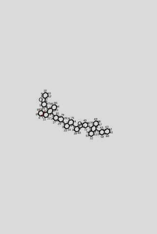 c1ccc(-c2cc3oc4ccccc4c3cc2-c2c3ccccc3c(-c3ccc4cc(-c5cccc6c(-c7cccc8c7oc7ccc(-c9c%10ccccc%10c(-c%10ccc%11ccccc%11c%10)c%10ccccc9%10)cc78)cccc56)ccc4c3)c3ccccc23)cc1